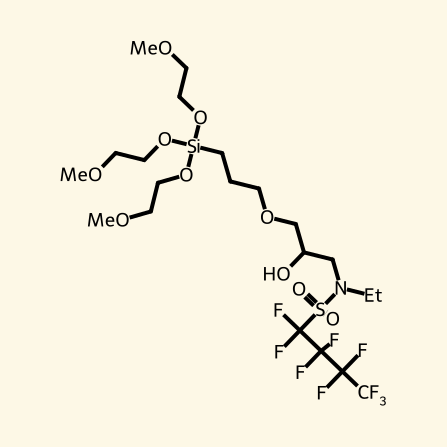 CCN(CC(O)COCCC[Si](OCCOC)(OCCOC)OCCOC)S(=O)(=O)C(F)(F)C(F)(F)C(F)(F)C(F)(F)F